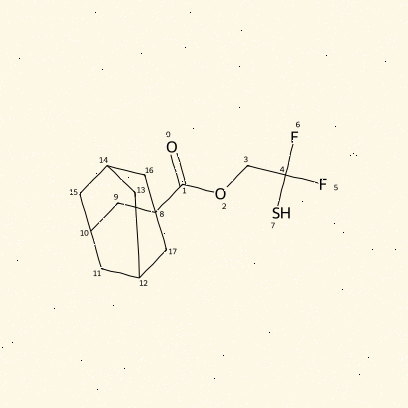 O=C(OCC(F)(F)S)C12CC3CC(CC(C3)C1)C2